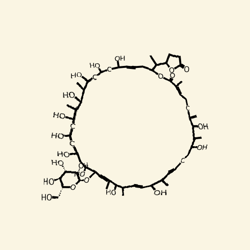 C/C1=C\CCC(C)C(O)C(C)C(O)CC/C=C/C(C)C(O)/C=C/C(C)C(O)/C(C)=C/C(O[C@H]2O[C@H](CO)[C@@H](O)[C@H](O)[C@@H]2O)C(O)CC(O)CC(O)CC(O)C(C)C(O)C(C)C(O)CC(O)CC(O)/C=C/CC(C(C)C2CCC(=O)O2)OC1=O